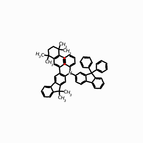 CC1(C)CCC(C)(C)c2cc(-c3cc4c(cc3N(c3ccccc3)c3ccc5c(c3)C(c3ccccc3)(c3ccccc3)c3ccccc3-5)C(C)(C)c3ccccc3-4)ccc21